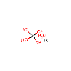 O.[Fe].[OH][Ti]([OH])([OH])[OH]